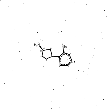 CC(C)(C)c1cnccc1N1CC[C@@H](N)C1